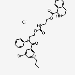 CCC[n+]1cc(Br)cc(C(=O)N(CCOC(=O)NCCOC(=O)C2NCCc3ccccc32)c2ccccc2)c1.[Cl-]